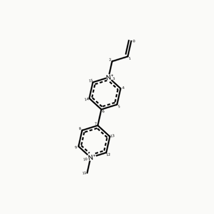 C=CC[n+]1ccc(-c2cc[n+](C)cc2)cc1